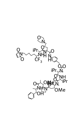 CCC(C)C(C(CC(=O)N1CCCC1C(OC)C(C)C(=O)NC(C)C(O)c1ccccc1)OC)N(C)C(=O)C(NC(=O)C(C(C)C)N(C)C(=O)OCc1ccc(NC(=O)C(CCCN2CCOCC2)NC(=O)C(NC(CCCCCN2C(=O)C=CC2=O)C(F)(F)F)C(C)C)cc1)C(C)C